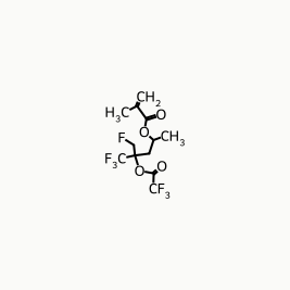 C=C(C)C(=O)OC(C)CC(CF)(OC(=O)C(F)(F)F)C(F)(F)F